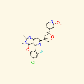 COc1cc([C@H]2C[C@H](c3cc4nc(C)n(C)c(=O)c4c(-c4ccc(Cl)cc4F)n3)CCO2)ccn1